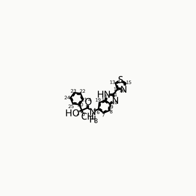 CC(O)(C(=O)Nc1ccc2nc(-c3cscn3)[nH]c2c1)c1ccccc1